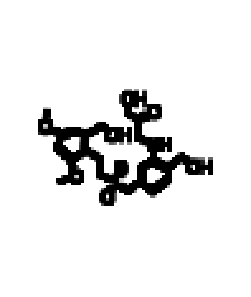 COc1cc(CO)c(CCS(=O)(=O)Cc2ccc(CO)c(NCC(=O)CO)c2)c(OC)c1